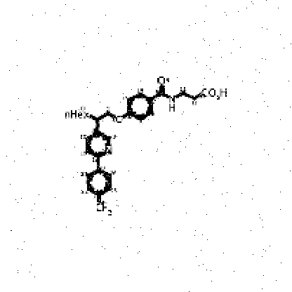 CCCCCCC(COc1ccc(C(=O)NCCC(=O)O)cc1)c1ccc(-c2ccc(C(F)(F)F)cc2)nc1